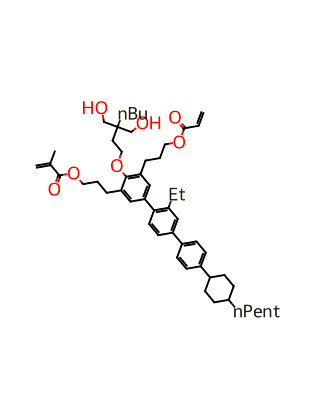 C=CC(=O)OCCCc1cc(-c2ccc(-c3ccc(C4CCC(CCCCC)CC4)cc3)cc2CC)cc(CCCOC(=O)C(=C)C)c1OCCC(CO)(CO)CCCC